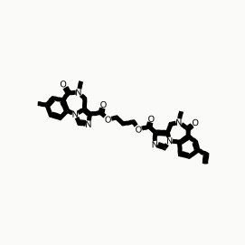 C=Cc1ccc2c(c1)C(=O)N(C)Cc1c(C(=O)OCCCOC(=O)c3ncn4c3CN(C)C(=O)c3cc(C)ccc3-4)ncn1-2